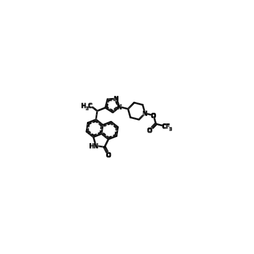 CC(c1cnn(C2CCN(OC(=O)C(F)(F)F)CC2)c1)c1ccc2c3c(cccc13)C(=O)N2